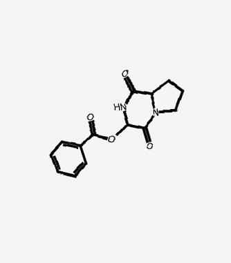 O=C(OC1NC(=O)C2CCCN2C1=O)c1ccccc1